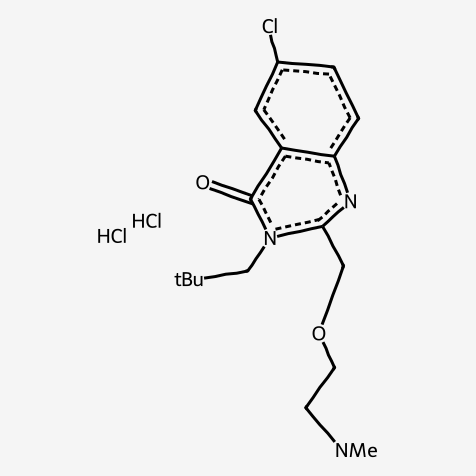 CNCCOCc1nc2ccc(Cl)cc2c(=O)n1CC(C)(C)C.Cl.Cl